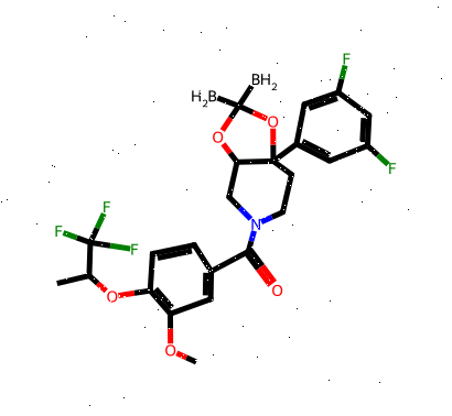 BC1(B)OC2CN(C(=O)c3ccc(OC(C)C(F)(F)F)c(OC)c3)CCC2(c2cc(F)cc(F)c2)O1